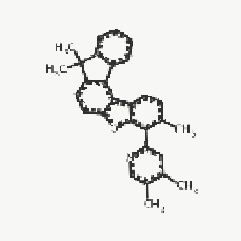 Cc1cnc(-c2c(C)ccc3c2oc2ccc4c(c23)-c2ccccc2C4(C)C)cc1C